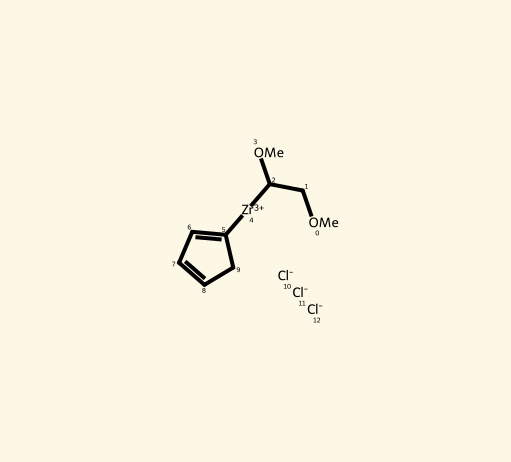 COC[CH](OC)[Zr+3][C]1=CC=CC1.[Cl-].[Cl-].[Cl-]